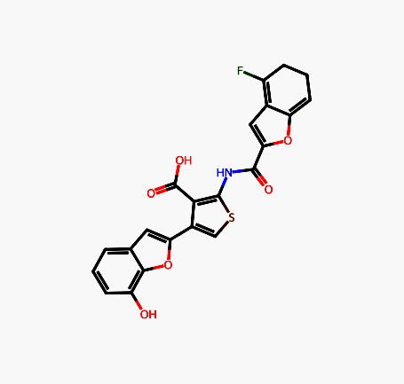 O=C(Nc1scc(-c2cc3cccc(O)c3o2)c1C(=O)O)c1cc2c(o1)=CCCC=2F